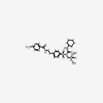 CCOP(=O)(CN(C(=O)NC1CCCCC1)S(=O)(=O)c1ccc(CCNC(=O)c2cnc(C)cn2)cc1)OCC